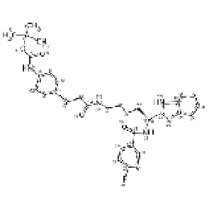 CC(C)(C)OC(=O)Nc1ccc(SCC(=O)NCCCC[C@H](NC(=O)c2ccc(F)cc2)c2nc3ccccc3[nH]2)cc1